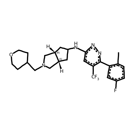 Cc1ccc(F)cc1-c1nnc(NC2C[C@@H]3CN(CC4CCOCC4)C[C@@H]3C2)cc1C(F)(F)F